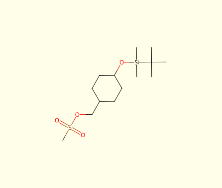 CC(C)(C)[Si](C)(C)OC1CCC(COS(C)(=O)=O)CC1